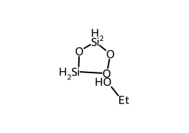 CCO.O1O[SiH2]O[SiH2]1